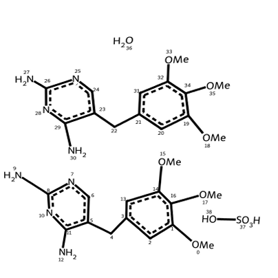 COc1cc(Cc2cnc(N)nc2N)cc(OC)c1OC.COc1cc(Cc2cnc(N)nc2N)cc(OC)c1OC.O.O=S(=O)(O)O